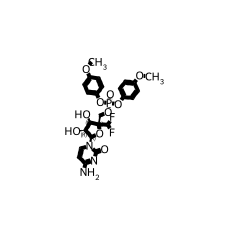 COc1ccc(OP(=O)(OC[C@@]2(C(F)F)O[C@@H](n3ccc(N)nc3=O)[C@H](O)[C@H]2O)Oc2ccc(OC)cc2)cc1